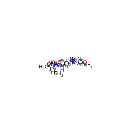 COC(C)c1ccc(C)cc1N1C(=O)CSC1=NC(=O)Nc1ccc(-c2ncn(-c3ccc(OC(F)(F)F)cn3)n2)cc1F